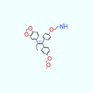 CC/C(=C(/c1ccc(OCCNC)cc1)c1ccc(OCOC)cc1)c1ccc2c(c1)OCO2